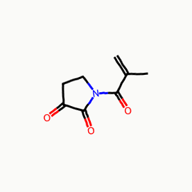 C=C(C)C(=O)N1CCC(=O)C1=O